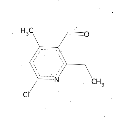 CCc1nc(Cl)cc(C)c1C=O